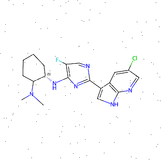 CN(C)C1CCCC[C@@H]1Nc1nc(-c2c[nH]c3ncc(Cl)cc23)ncc1F